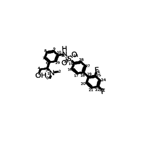 CN(C)C(CO)c1cccc(NS(=O)(=O)c2ccc(-c3ccc(F)cc3F)cc2)c1